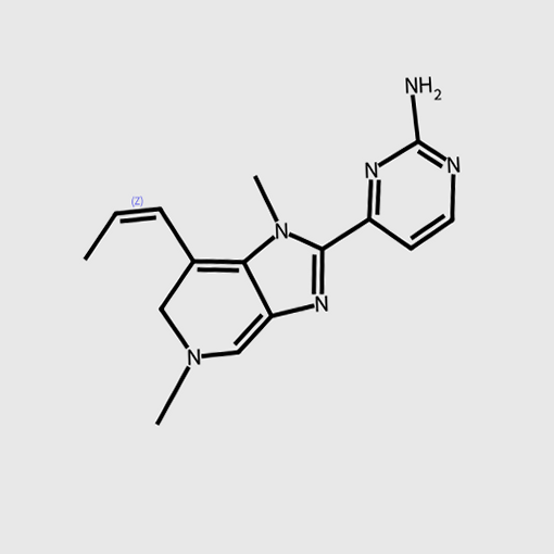 C/C=C\C1=c2c(nc(-c3ccnc(N)n3)n2C)=CN(C)C1